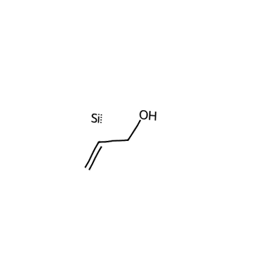 C=CCO.[Si]